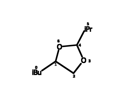 CCC(C)C1COC(C(C)C)O1